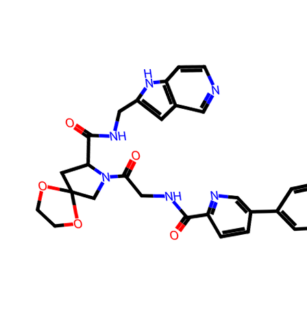 O=C(NCC(=O)N1CC2(CC1C(=O)NCc1cc3cnccc3[nH]1)OCCO2)c1ccc(-c2ccccc2)cn1